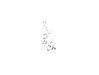 COc1cc(-c2[nH]nc(-c3cc(C(F)(F)F)c(C4CCN(C5COC5)CC4)cn3)c2CC(F)(F)F)cn2ncnc12